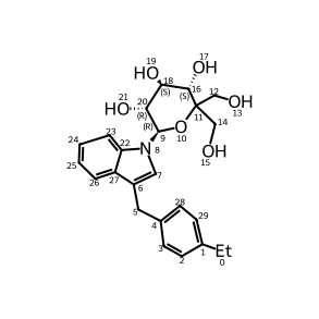 CCc1ccc(Cc2cn([C@@H]3OC(CO)(CO)[C@@H](O)[C@H](O)[C@H]3O)c3ccccc23)cc1